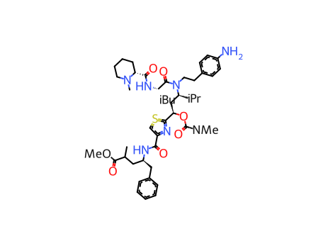 CC[C@H](C)[C@H](NC(=O)[C@H]1CCCCN1C)C(=O)N(CCc1ccc(N)cc1)[C@H](C[C@@H](OC(=O)NC)c1nc(C(=O)N[C@@H](Cc2ccccc2)CC(C)C(=O)OC)cs1)C(C)C